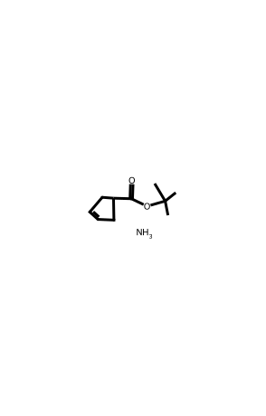 CC(C)(C)OC(=O)C1CC=CC1.N